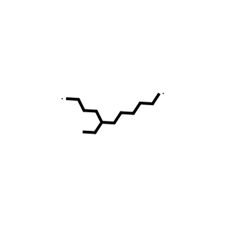 [CH2]CCCCCC(CC)CCC[CH2]